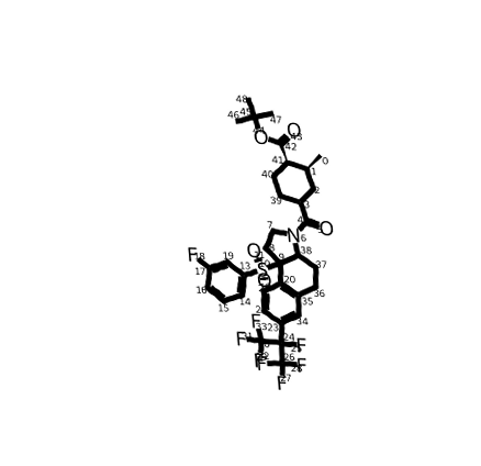 C[C@H]1CC(C(=O)N2CCC3(S(=O)(=O)c4cccc(F)c4)c4ccc(C(F)(C(F)(F)F)C(F)(F)F)cc4CCC23)CC[C@H]1C(=O)OC(C)(C)C